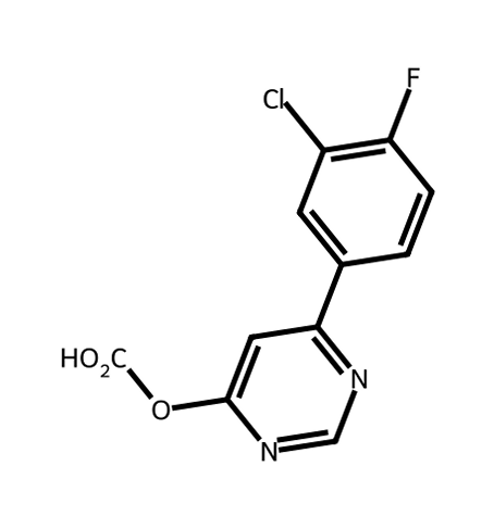 O=C(O)Oc1cc(-c2ccc(F)c(Cl)c2)ncn1